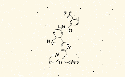 CNC[C@H]1Cc2ncc(-c3cc(NC(=O)c4ccnc(C(F)(F)F)c4)ccc3C)cc2N2CCOC[C@H]12